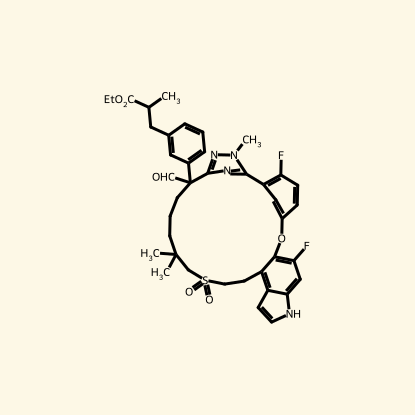 CCOC(=O)C(C)Cc1cccc(C2(C=O)CCCC(C)(C)CS(=O)(=O)CCc3c(c(F)cc4[nH]ccc34)Oc3ccc(F)c(c3)-c3nc2nn3C)c1